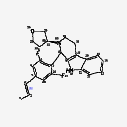 C/C=C/c1cc(F)c(C2c3[nH]c4ccccc4c3CCN2[C@H]2CCOC2)c(F)c1